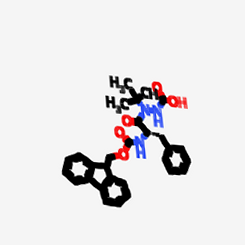 CC(C)(C)N(NC(=O)O)C(=O)[C@H](Cc1ccccc1)NC(=O)OCC1c2ccccc2-c2ccccc21